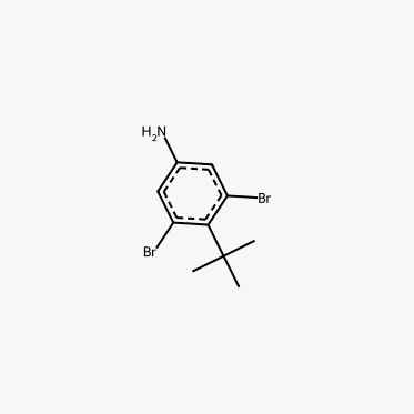 CC(C)(C)c1c(Br)cc(N)cc1Br